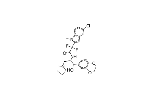 Cn1c(C(F)(F)C(=O)N[C@H](CN2CCCC2)[C@@H](O)c2ccc3c(c2)OCCO3)cc2cc(Cl)ccc21